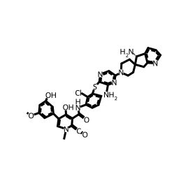 COc1cc(O)cc(C2=CN(C)C(=C=O)C(C(=O)Nc3cccc(Sc4ncc(N5CCC6(CC5)Cc5ncccc5[C@H]6N)nc4N)c3Cl)=C2O)c1